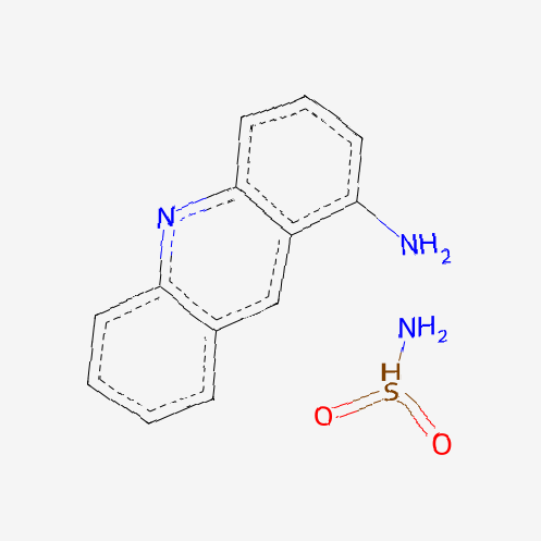 N[SH](=O)=O.Nc1cccc2nc3ccccc3cc12